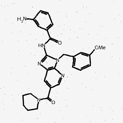 COc1cccc(Cn2c(NC(=O)c3cccc(N)c3)nc3cc(C(=O)N4CCCCC4)cnc32)c1